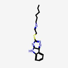 CCCCCCN=CCSc1nnc2c(n1)[nH]c1ccccc12